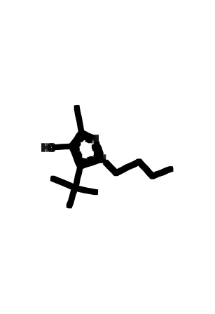 CCCCn1nc(C)c(O)c1C(C)(C)C